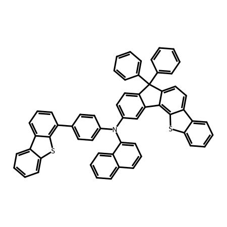 c1ccc(C2(c3ccccc3)c3ccc(N(c4ccc(-c5cccc6c5sc5ccccc56)cc4)c4cccc5ccccc45)cc3-c3c2ccc2c3sc3ccccc32)cc1